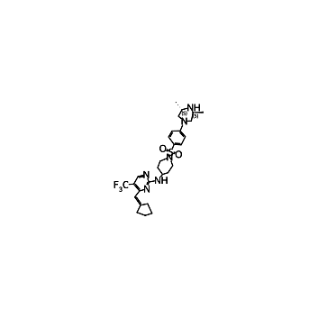 C[C@H]1CN(c2ccc(S(=O)(=O)N3CCC(Nc4ncc(C(F)(F)F)c(C=C5CCCC5)n4)CC3)cc2)C[C@H](C)N1